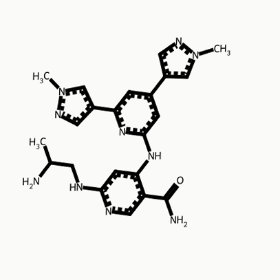 CC(N)CNc1cc(Nc2cc(-c3cnn(C)c3)cc(-c3cnn(C)c3)n2)c(C(N)=O)cn1